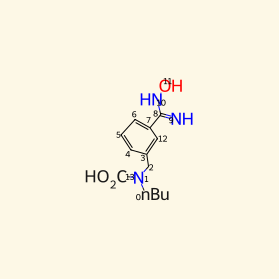 CCCCN(Cc1cccc(C(=N)NO)c1)C(=O)O